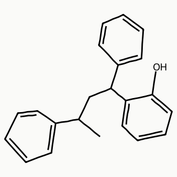 CC(CC(c1ccccc1)c1ccccc1O)c1ccccc1